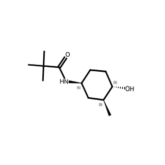 C[C@H]1C[C@@H](NC(=O)C(C)(C)C)CC[C@@H]1O